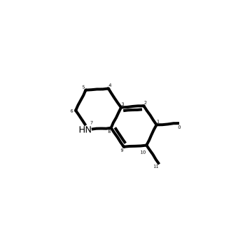 CC1C=C2CCCNC2=CC1C